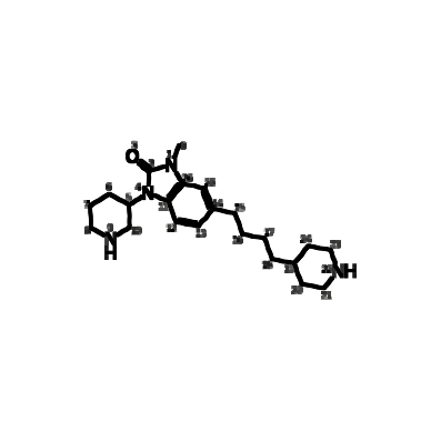 Cn1c(=O)n(C2CCCNC2)c2ccc(CCCCC3CCNCC3)cc21